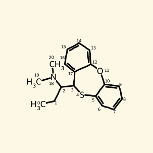 CCC(C1Sc2ccccc2Oc2ccccc21)N(C)C